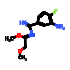 COC/C(=N/C(=N)c1ccc(F)c(N)c1)OC